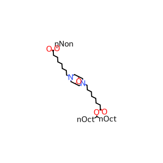 CCCCCCCCCOC(=O)CCCCCCCN1CC2CN(CCCCCCCC(=O)OC(CCCCCCCC)CCCCCCCC)CC(C1)O2